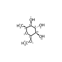 CO[C@H]1O[C@@H](C)[C@@H](O)[C@H](O)[C@H]1O